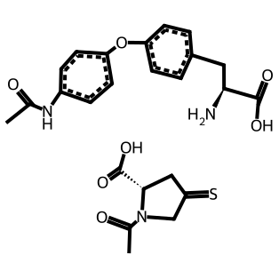 CC(=O)N1CC(=S)C[C@H]1C(=O)O.CC(=O)Nc1ccc(Oc2ccc(C[C@H](N)C(=O)O)cc2)cc1